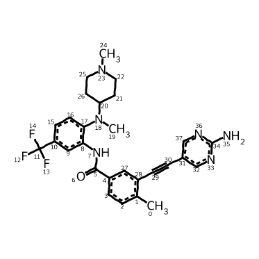 Cc1ccc(C(=O)Nc2cc(C(F)(F)F)ccc2N(C)C2CCN(C)CC2)cc1C#Cc1cnc(N)nc1